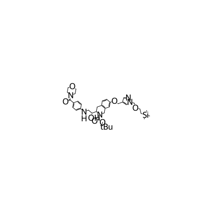 CC(C)(C)OC(=O)N1Cc2cc(OCc3cnn(COCC[Si](C)(C)C)c3)ccc2CC1[C@H](O)CNc1ccc(C(=O)N2CCOCC2)cc1